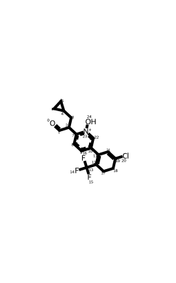 O=CC(CC1CC1)c1ccc(C2=C(C(F)(F)F)CCC(Cl)=C2)c[n+]1O